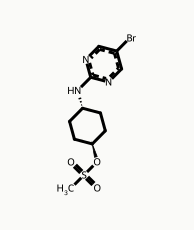 CS(=O)(=O)O[C@H]1CC[C@H](Nc2ncc(Br)cn2)CC1